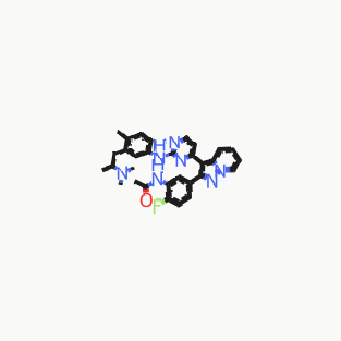 CC(=O)Nc1cc(-c2nn3ccccc3c2-c2ccnc(Nc3ccc(C)c(CC(C)N(C)C)c3)n2)ccc1F